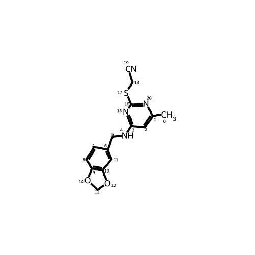 Cc1cc(NCc2ccc3c(c2)OCO3)nc(SCC#N)n1